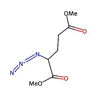 COC(=O)CCC(N=[N+]=[N-])C(=O)OC